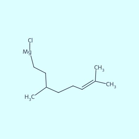 CC(C)=CCCC(C)C[CH2][Mg][Cl]